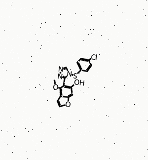 COc1c(-c2nncn2Sc2ccc(Cl)cc2)c(O)cc2occc12